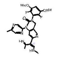 CB/C=C(\C(C)=N)c1cc2c(cn1)CN(c1c(F)c(OC)cc(OC)c1F)C(=O)N2c1cnc(C)cn1